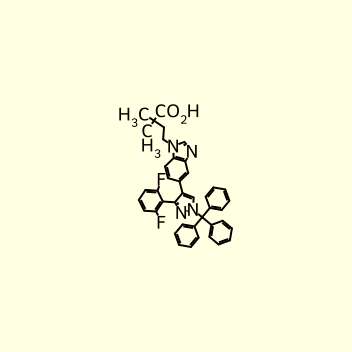 CC(C)(CCn1cnc2cc(-c3cn(C(c4ccccc4)(c4ccccc4)c4ccccc4)nc3-c3c(F)cccc3F)ccc21)C(=O)O